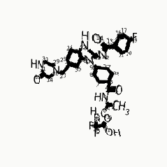 CC(C)NC(=O)C1CCC(n2c(=NC(=O)c3ccc(F)cc3)[nH]c3ccc(CN4CCNC(=O)C4)cc32)CC1.O=C(O)C(F)(F)F